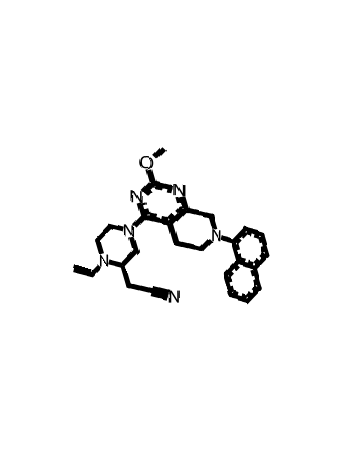 C=CN1CCN(c2nc(OC)nc3c2CCN(c2cccc4ccccc24)C3)CC1CC#N